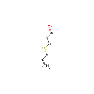 C=CCSCC[C]=O